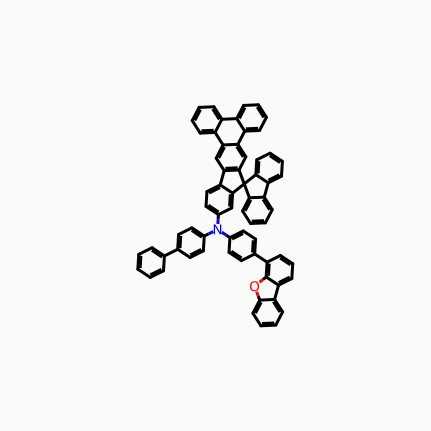 c1ccc(-c2ccc(N(c3ccc(-c4cccc5c4oc4ccccc45)cc3)c3ccc4c(c3)C3(c5ccccc5-c5ccccc53)c3cc5c6ccccc6c6ccccc6c5cc3-4)cc2)cc1